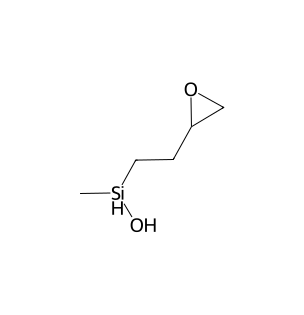 C[SiH](O)CCC1CO1